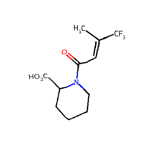 C/C(=C\C(=O)N1CCCCC1C(=O)O)C(F)(F)F